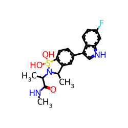 CNC(=O)C(C)N1C(C)c2cc(-c3c[nH]c4cc(F)ccc34)ccc2S1(O)O